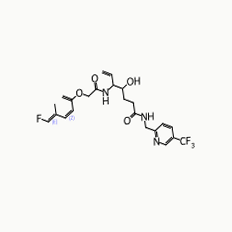 C=CC(NC(=O)COC(=C)/C=C\C(C)=C\F)C(O)CCC(=O)NCc1ccc(C(F)(F)F)cn1